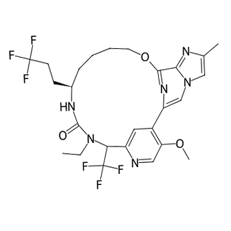 CCN1C(=O)N[C@@H](CCC(F)(F)F)CCCCOc2nc(cn3cc(C)nc23)-c2cc(ncc2OC)C1C(F)(F)F